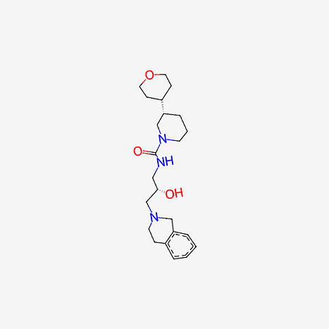 O=C(NC[C@H](O)CN1CCc2ccccc2C1)N1CCC[C@@H](C2CCOCC2)C1